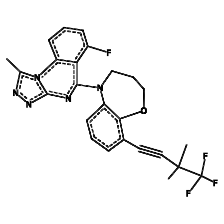 Cc1nnc2nc(N3CCCOc4c(C#CC(C)(C)C(F)(F)F)cccc43)c3c(F)cccc3n12